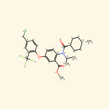 COC(=O)c1cc(Oc2ccc(CCl)cc2C(F)(F)F)ccc1N(C(=O)[C@H]1CC[C@H](C)CC1)C(C)C